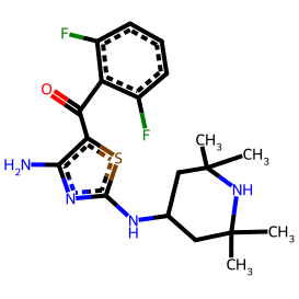 CC1(C)CC(Nc2nc(N)c(C(=O)c3c(F)cccc3F)s2)CC(C)(C)N1